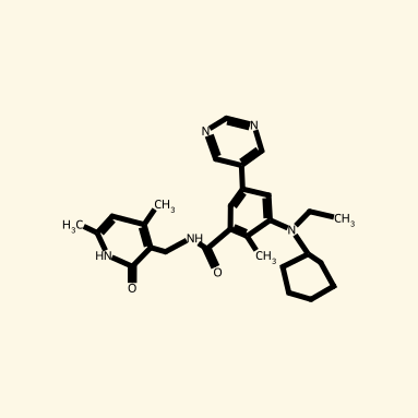 CCN(c1cc(-c2cncnc2)cc(C(=O)NCc2c(C)cc(C)[nH]c2=O)c1C)C1CCCCC1